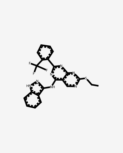 CCSc1ncc2c(Nc3n[nH]c4ccccc34)nc(-c3ccccc3C(F)(F)F)nc2n1